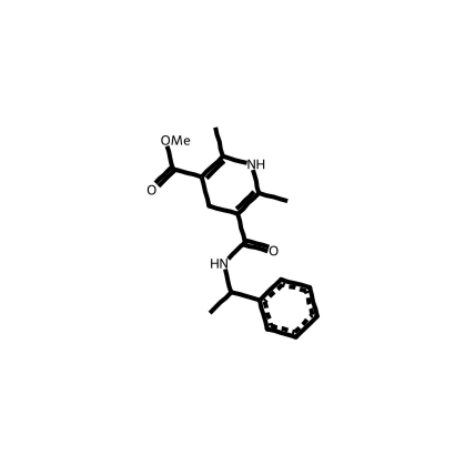 COC(=O)C1=C(C)NC(C)=C(C(=O)NC(C)c2ccccc2)C1